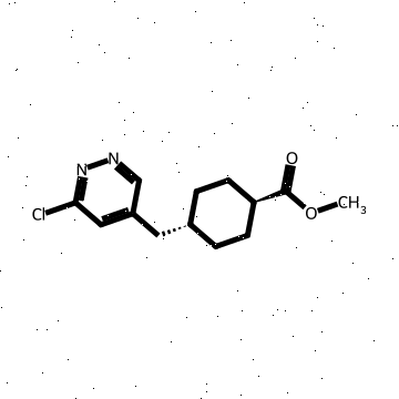 COC(=O)[C@H]1CC[C@H](Cc2cnnc(Cl)c2)CC1